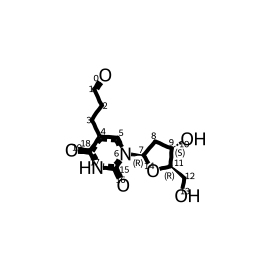 O=CCCc1cn([C@H]2C[C@H](O)[C@@H](CO)O2)c(=O)[nH]c1=O